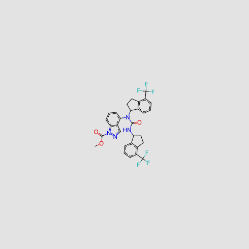 COC(=O)n1ncc2c(N(C(=O)NC3CCc4c3cccc4C(F)(F)F)C3CCc4c3cccc4C(F)(F)F)cccc21